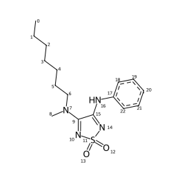 CCCCCCCN(C)C1=NS(=O)(=O)N=C1Nc1cc[c]cc1